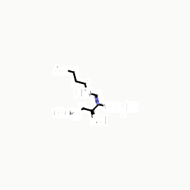 CCOC(=O)/C(=C/NCCCC(C)=O)C(=N)COC(C)(C)C